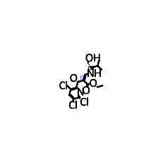 CCOC(=O)/C(=C\N[C@H](CO)C(C)C)C(=O)c1nc(Cl)c(Cl)cc1Cl